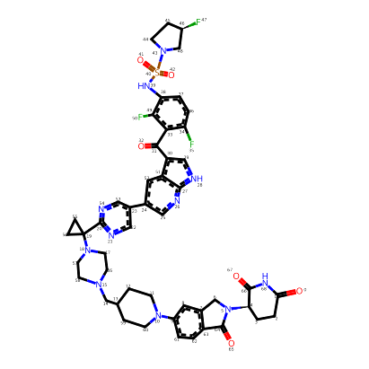 O=C1CC[C@@H](N2Cc3cc(N4CCC(CN5CCN(C6(c7ncc(-c8cnc9[nH]cc(C(=O)c%10c(F)ccc(NS(=O)(=O)N%11CC[C@@H](F)C%11)c%10F)c9c8)cn7)CC6)CC5)CC4)ccc3C2=O)C(=O)N1